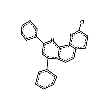 Clc1ccc2ccc3c(-c4ccccc4)cc(-c4ccccc4)nc3c2n1